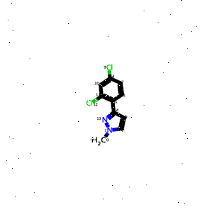 [CH2]n1ccc(-c2ccc(Cl)cc2Cl)n1